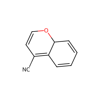 N#CC1=C2C=CC=CC2OC=C1